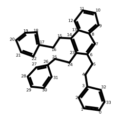 c1ccc(CCc2cc3ccccc3c(CCc3ccccc3)c2CCc2ccccc2)cc1